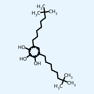 CC(C)(C)CCCCCCc1cc(CCCCCCC(C)(C)C)c(O)c(O)c1O